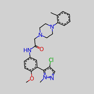 COc1ccc(NC(=O)CN2CCN(c3ccccc3C)CC2)cc1-c1c(Cl)cnn1C